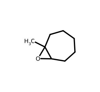 CC12CCCCCC1O2